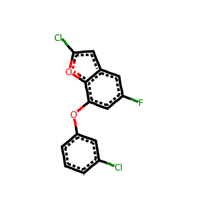 Fc1cc(Oc2cc[c]c(Cl)c2)c2oc(Cl)cc2c1